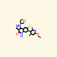 CCOc1cc(C)c(-c2cc3[nH]c(=O)c4cnn([C@H]5CCOC5)c4c3cc2F)c(C)n1